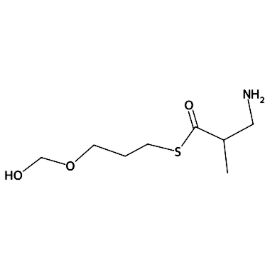 CC(CN)C(=O)SCCCOCO